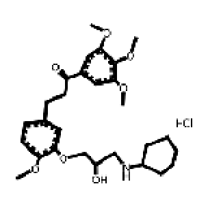 COc1ccc(CCC(=O)c2cc(OC)c(OC)c(OC)c2)cc1OCC(O)CNC1CCCCC1.Cl